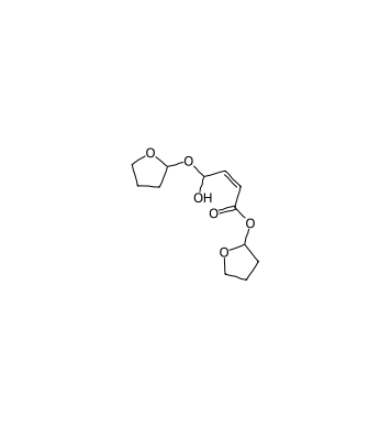 O=C(/C=C\C(O)OC1CCCO1)OC1CCCO1